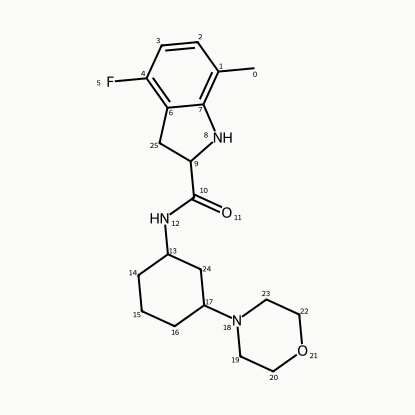 Cc1ccc(F)c2c1NC(C(=O)NC1CCCC(N3CCOCC3)C1)C2